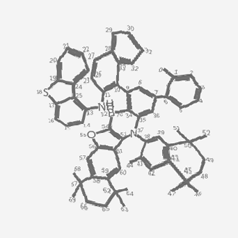 Cc1ccccc1-c1cc(-c2c(Nc3cccc4sc5ccccc5c34)ccc3ccccc23)c2c(c1)N(c1cc3c(cc1C)C(C)(C)CCC3(C)C)c1c(oc3cc4c(cc13)C(C)(C)CCC4(C)C)B2